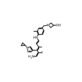 CC(/C=C/Nc1ccc(CN2CC(O)C2)cc1C)=C(\C(F)=C/N)c1cnn(C2CC2)c1